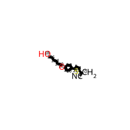 C=C(C#N)c1ccc(-c2ccc(OCCCCCCO)cc2)s1